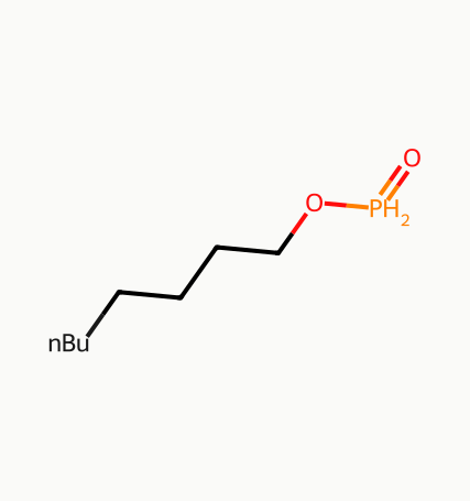 CCCCCCCCO[PH2]=O